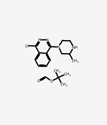 CC(C)(C)OC=O.CC1CN(c2nnc(Cl)c3ccccc23)CCN1